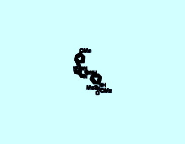 COc1ccc(-n2ncc3cnc(Nc4ccc(NP(=O)(OC)OC)cc4)nc32)cc1